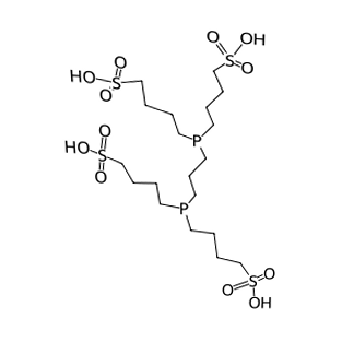 O=S(=O)(O)CCCCP(CCCCS(=O)(=O)O)CCCP(CCCCS(=O)(=O)O)CCCCS(=O)(=O)O